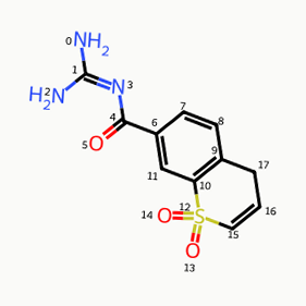 NC(N)=NC(=O)c1ccc2c(c1)S(=O)(=O)C=CC2